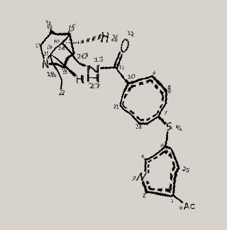 CC(=O)c1cncc(Sc2ccc(C(=O)N[C@@H]3C4CCN(CC4)[C@H]3C)cc2)c1